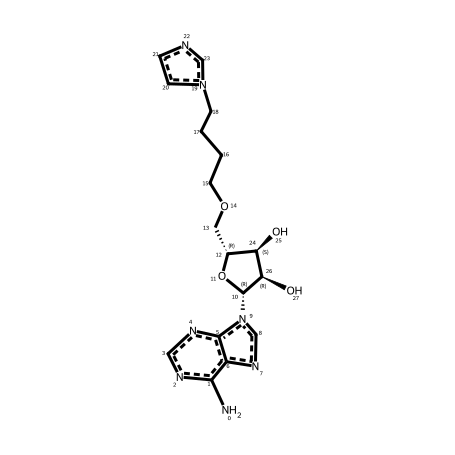 Nc1ncnc2c1ncn2[C@@H]1O[C@H](COCCCCn2ccnc2)[C@@H](O)[C@H]1O